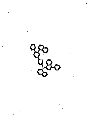 c1ccc(-c2ccc(-c3ccc(N(c4cccc5ccccc45)c4ccc(-c5ccccc5)c5ccccc45)cc3)cc2-c2cccc3ccccc23)cc1